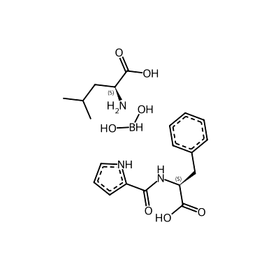 CC(C)C[C@H](N)C(=O)O.O=C(N[C@@H](Cc1ccccc1)C(=O)O)c1ccc[nH]1.OBO